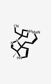 CN/C=C\CC12C=CN[C@@]1(C)C=NN2C1(CC#N)CNC1